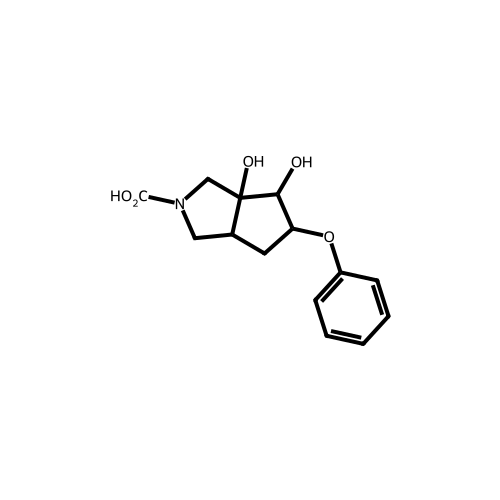 O=C(O)N1CC2CC(Oc3ccccc3)C(O)C2(O)C1